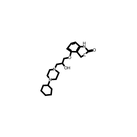 O=C1CCc2c(cccc2OCC(O)CN2CCN(C3CCCCC3)CC2)N1